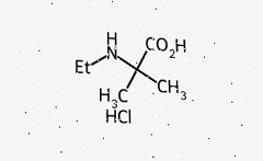 CCNC(C)(C)C(=O)O.Cl